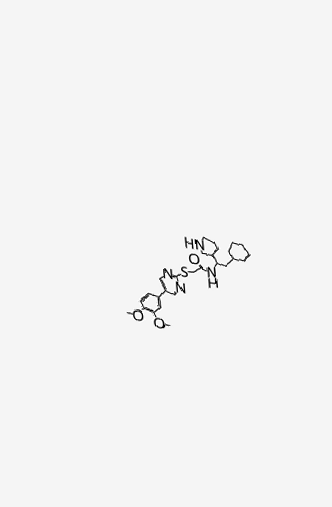 COc1ccc(-c2cnc(SCC(=O)NC(CC3CCCCC3)C3CCCNC3)nc2)cc1OC